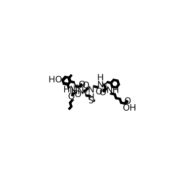 CCCCOC(=O)N[C@@H](Cc1c(C)cc(O)cc1C)C(=O)N[C@H](CCSC)C(=O)NCC(=O)N[C@@H](CC1CCCCC1)C(=O)NCCCCCC(=O)O